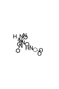 COC(=O)C1CCC(NCc2ccc(-n3c(-c4cccnc4N)nc4ccc(-c5ccccc5)nc43)cc2)CC1